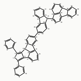 c1ccc(-c2sc(-c3ccccc3)c3c2c2cccc4c5cc(-c6ccc7c(c6)c6ccccc6n7-c6ccc7c8c(cccc68)-c6ccccc6-7)ccc5n3c42)cc1